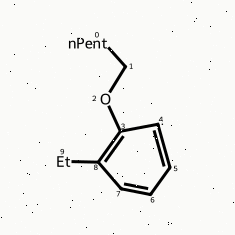 CCCCCCOc1[c]cccc1CC